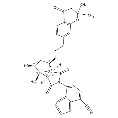 CC1(C)CC(=O)c2ccc(OCC[C@]34C[C@H](O)[C@](C)(O3)[C@@H]3C(=O)N(c5ccc(C#N)c6ccccc56)C(=O)[C@@H]34)cc2O1